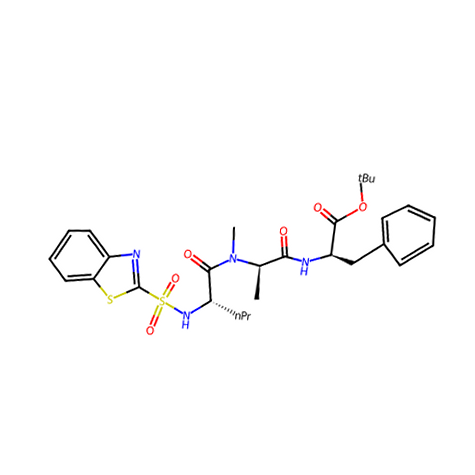 CCC[C@H](NS(=O)(=O)c1nc2ccccc2s1)C(=O)N(C)[C@H](C)C(=O)N[C@H](Cc1ccccc1)C(=O)OC(C)(C)C